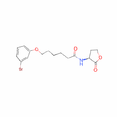 O=C(CCCCCOc1cccc(Br)c1)N[C@H]1CCOC1=O